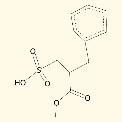 COC(=O)C(Cc1ccccc1)CS(=O)(=O)O